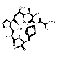 CC[C@H](C)[C@@H]([C@@H](CC(=O)N1CCC[C@H]1[C@H](OC)[C@@H](C)C(=O)N[C@@H](Cc1ccccc1)C(N)=O)OC)N(C)[C@H](C(=O)NC(=O)[C@@H](NC)C(C)C)C(C)C